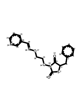 O=C1SC(Cc2ccccc2)C(=O)N1OCCO/N=C/c1cccnc1